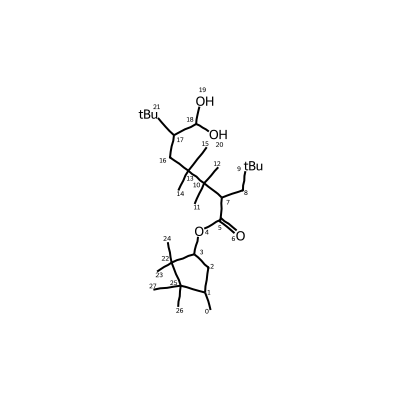 CC1CC(OC(=O)C(CC(C)(C)C)C(C)(C)C(C)(C)CC(C(O)O)C(C)(C)C)C(C)(C)C1(C)C